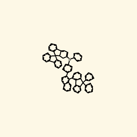 C1=C2c3ccccc3C3(c4ccccc4-c4ccccc43)C2CC(N(c2ccccc2)c2ccc(-c3ccc4ccccc4c3-c3cccc4c3-c3ccccc3C4(c3ccccc3)c3ccccc3)cc2)=C1